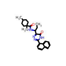 CCC(NC(=O)C1(C)CCC(C)CC1)c1nnc(-c2cccc3ccccc23)[nH]c1=O